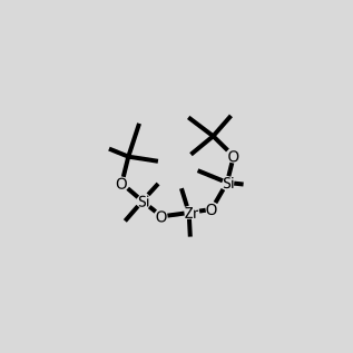 CC(C)(C)O[Si](C)(C)[O][Zr]([CH3])([CH3])[O][Si](C)(C)OC(C)(C)C